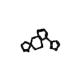 C1=NC2(CC1)CCc1c(cccc1-c1ccoc1)C2